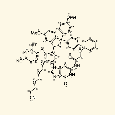 COc1ccc(C(OC[C@H]2O[C@@H](n3cnc4c(=O)[nH]c(NC(=O)COc5ccccc5)nc43)[C@@H](OCOCOCCC#N)C2OP(OCCC#N)N(C(C)C)C(C)C)(c2ccccc2)c2ccc(OC)cc2)cc1